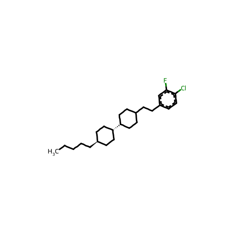 CCCCC[C@H]1CC[C@H](C2CCC(CCc3ccc(Cl)c(F)c3)CC2)CC1